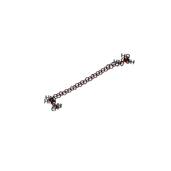 C[C@H]1[C@@H](O)[C@@H](NC(=O)CCC(=O)NCCOCCOCCOCCOCCOCCOCCOCCOCCOCCOCCOCCOCCOCCOCCOCCOCCOCCOCCOCCOCCOCCOCCOCCOCCC(=O)NCCC2(C(=O)N[C@@H](Cc3ccc(NC(=O)c4c(Cl)cccc4Cl)cc3)C(=O)OC(C)(C)C)CCCC2)[C@H](C)O[C@@H]1CO